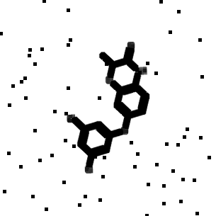 CC1Oc2cc(Oc3cc(Cl)cc(Cl)c3)ccc2NC1=O